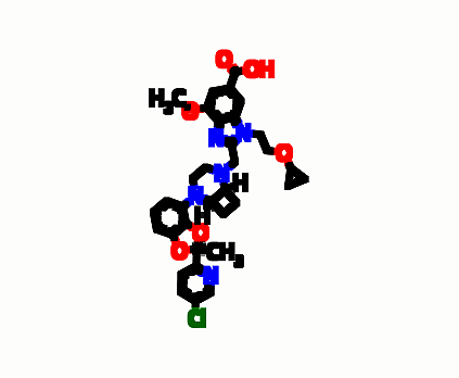 COc1cc(C(=O)O)cc2c1nc(CN1CCN(c3cccc4c3O[C@@](C)(c3ccc(Cl)cn3)O4)[C@H]3CC[C@@H]31)n2CCOC1CC1